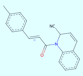 Cc1ccc(/C=C/C(=O)N2c3ccccc3C=CC2C#N)cc1